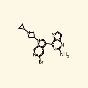 Nc1nc(-c2cn(C3CN(C4CC4)C3)c3cnc(Br)cc23)c2sccc2n1